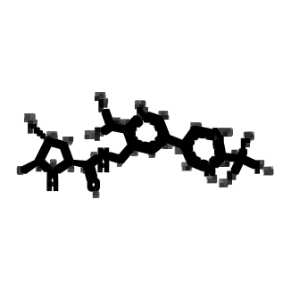 C[C@@H]1N[C@H](C(=O)NCc2cc(-c3cnc(C(F)(F)F)nc3)cnc2C(F)F)C[C@H]1F